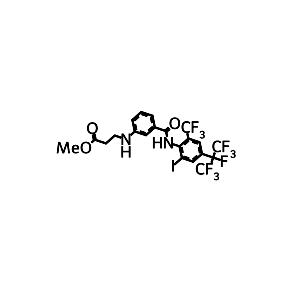 COC(=O)CCNc1cccc(C(=O)Nc2c(I)cc(C(F)(C(F)(F)F)C(F)(F)F)cc2C(F)(F)F)c1